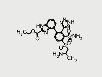 CCOC(=O)c1nc2c(-c3ccc(S(=O)(=O)CC(C)N)c(S(N)(=O)=O)c3-c3nn[nH]n3)cccc2[nH]1